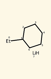 CCC1CCCCC1.[LiH]